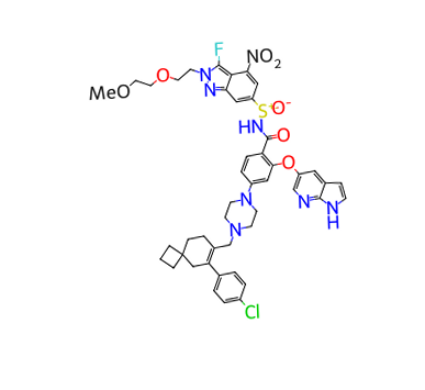 COCCOCCn1nc2cc([S+]([O-])NC(=O)c3ccc(N4CCN(CC5=C(c6ccc(Cl)cc6)CC6(CCC6)CC5)CC4)cc3Oc3cnc4[nH]ccc4c3)cc([N+](=O)[O-])c2c1F